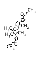 CCCCC(=O)C1=CC(C2CCC[C@@H](C[C@@H]3OC(CC)[C@H](C)C(C4C=CC(C(=O)CCCC)=C4)[C@@H]3C)C2C)C=C1